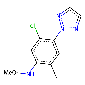 CONc1cc(Cl)c(-n2nccn2)cc1C